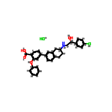 Cl.O=C(O)c1ccc(-c2ccc3c(c2)C[C@@H](NC[C@H](O)c2ccc(Cl)cc2)CC3)cc1Oc1ccccc1